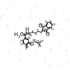 C[C@@H](NSCCCCN1C(=O)c2ccccc2C1=O)c1ccc(F)c(OCC2CC2)c1